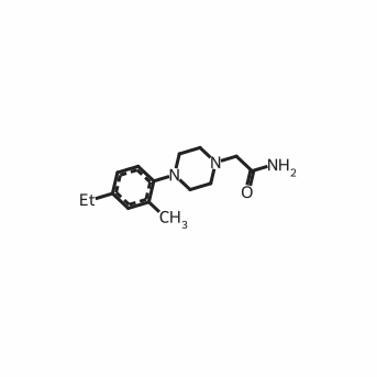 CCc1ccc(N2CCN(CC(N)=O)CC2)c(C)c1